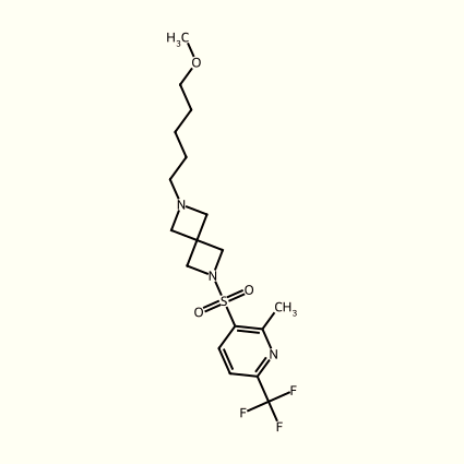 COCCCCCN1CC2(C1)CN(S(=O)(=O)c1ccc(C(F)(F)F)nc1C)C2